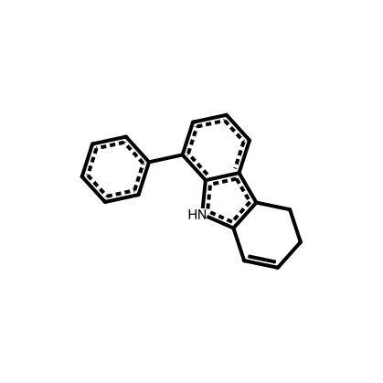 C1=Cc2[nH]c3c(-c4ccccc4)cccc3c2CC1